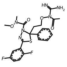 CON(C)C(=O)N1N=C(c2cc(F)ccc2F)SC1(CCON(C(=N)N)C(C)=O)c1ccccc1